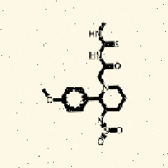 CNC(=S)NC(=O)CN1CCCC(N=S(=O)=O)C1c1ccc(OC)cc1